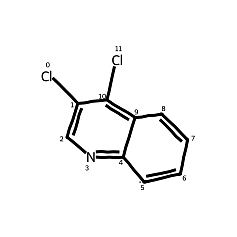 Clc1cnc2[c]cccc2c1Cl